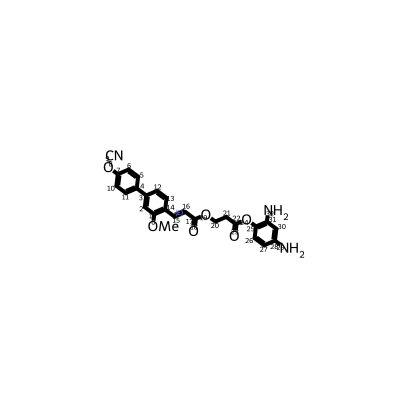 COc1cc(-c2ccc(OC#N)cc2)ccc1/C=C/C(=O)OCCC(=O)Oc1ccc(N)cc1N